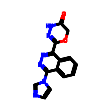 O=C1COC(c2nnc(-n3ccnc3)c3ccccc23)=NN1